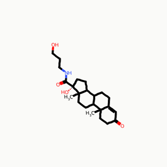 CC12CCC(=O)C=C1CCC1C2CCC2(C)C1CC[C@]2(O)C(=O)NCCCO